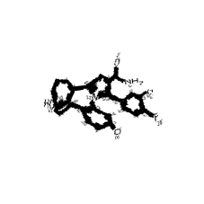 NC(=O)c1cc(-c2ccccc2)n(-c2cc(Cl)ccc2CCO)c1-c1ccc(F)c(Cl)c1